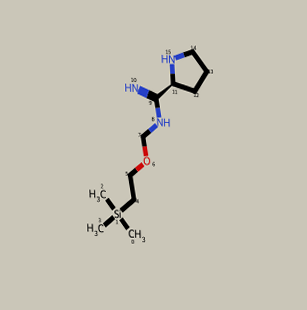 C[Si](C)(C)CCOCNC(=N)[C@@H]1CCCN1